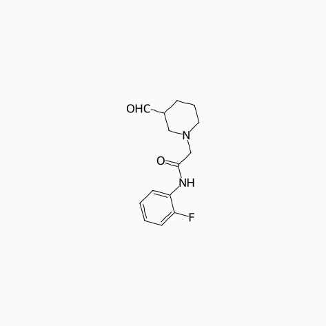 O=CC1CCCN(CC(=O)Nc2ccccc2F)C1